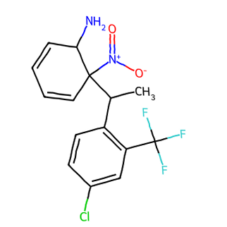 CC(c1ccc(Cl)cc1C(F)(F)F)C1([N+](=O)[O-])C=CC=CC1N